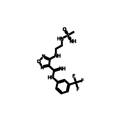 CS(=N)(=O)NCCNc1nonc1C(=N)Nc1cccc(C(F)(F)F)c1